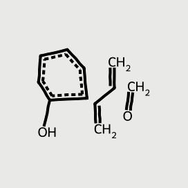 C=CC=C.C=O.Oc1ccccc1